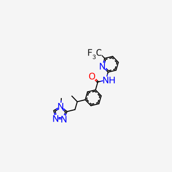 CC(Cc1nncn1C)c1cccc(C(=O)Nc2cccc(C(F)(F)F)n2)c1